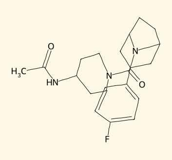 CC(=O)NC1CCN(C(=O)N2C3CCC2CC(c2ccc(F)cc2)C3)CC1